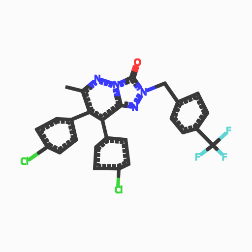 Cc1nn2c(=O)n(Cc3ccc(C(F)(F)F)cc3)nc2c(-c2ccc(Cl)cc2)c1-c1ccc(Cl)cc1